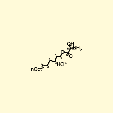 CCCCCCCCCCCCCCOC(=O)C(N)O.Cl